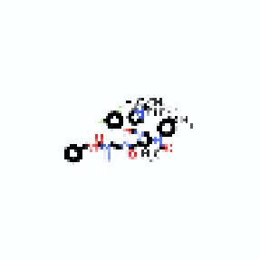 CC(=O)N(C1CCC(C)(C)CC1)[C@H]1C[C@@H](C(=O)NCCNC(=O)OCc2ccccc2)N(C(=O)[C@@H]2CN(C(C)(C)C)C[C@H]2c2ccc(F)cc2F)C1